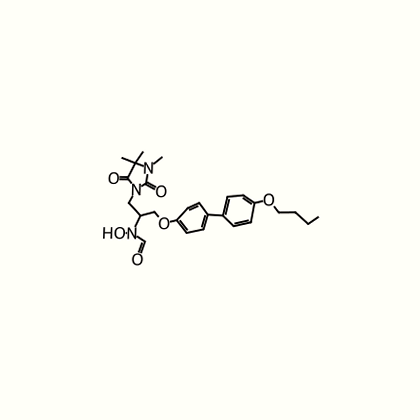 CCCCOc1ccc(-c2ccc(OCC(CN3C(=O)N(C)C(C)(C)C3=O)N(O)C=O)cc2)cc1